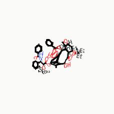 CC[Si](CC)(CC)OC1C[C@H]2OC[C@@]2(OC(C)=O)[C@H]2[C@H](OC(=O)c3ccccc3)[C@]3(O)C[C@H](OC(=O)[C@H](O[Si](C)(C)C(C)(C)C)[C@@H](NC(=O)c4ccccc4)c4ccccc4)C(C)=C([C@@H](O)C(=O)[C@]12C)C3(C)C